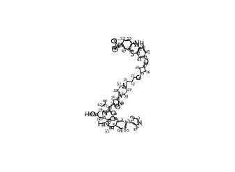 Cc1ncsc1-c1ccc([C@H](C)NC(=O)[C@@H]2C[C@@H](O)CN2C(=O)[C@@H](c2cc(N3CCN(CCCO[C@H]4C[C@H](Oc5ccc6c(c5)Sc5cc([N+](=O)[O-])ccc5N6)C4)CC3)no2)C(C)C)cc1